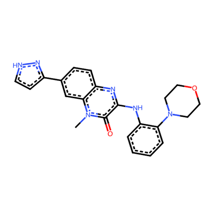 Cn1c(=O)c(Nc2ccccc2N2CCOCC2)nc2ccc(-c3cc[nH]n3)cc21